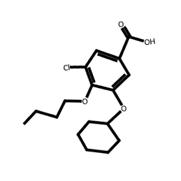 CCCCOc1c(Cl)cc(C(=O)O)cc1OC1CCCCC1